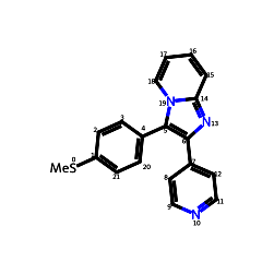 CSc1ccc(-c2c(-c3ccncc3)nc3ccccn23)cc1